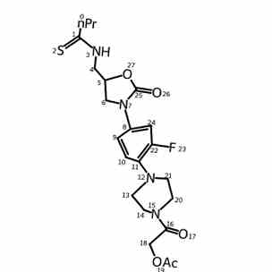 CCCC(=S)NCC1CN(c2ccc(N3CCN(C(=O)COC(C)=O)CC3)c(F)c2)C(=O)O1